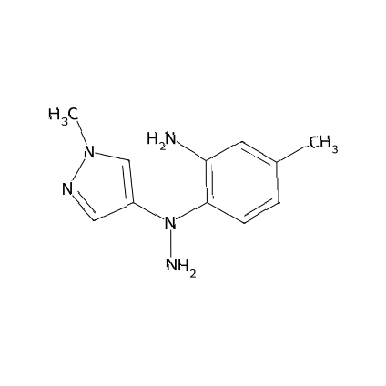 Cc1ccc(N(N)c2cnn(C)c2)c(N)c1